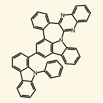 c1ccc(-n2c3ccccc3c3cccc(-c4cc5c6c(c4)c4ccccc4n6-c4nc6ccccc6nc4-c4ccccc4-5)c32)cc1